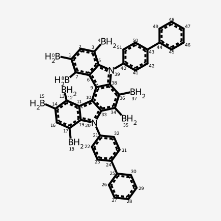 Bc1cc(B)c2c(c1B)c1c3c4c(B)c(B)cc(B)c4n(-c4ccc(-c5ccccc5)cc4)c3c(B)c(B)c1n2-c1ccc(-c2ccccc2)cc1